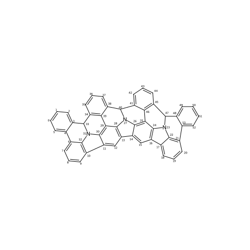 c1ccc2c(c1)-c1cccc3c4cc5c6cc7c8cccc9c8n8c7c7c6n6c5c5c4n(c13)C2c1cccc(c1-5)C6c1cccc(c1-7)C8c1ccccc1-9